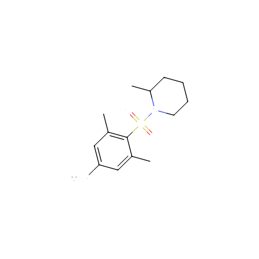 [CH2]C1CCCCN1S(=O)(=O)c1c(C)cc(OC)cc1C